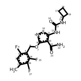 Cc1cc(F)c(COc2nsc(NC(=O)NC3CCC3)c2C(N)=O)c(F)c1F